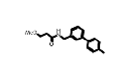 COCCC(=O)NCc1cccc(-c2ccc(C)cc2)c1